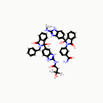 NC(=O)c1cccc(N2C(=O)c3ccccc3C2(O)c2ccc3[nH]c(NC(=O)O)nc3c2)c1.O=C(CC(O)(C(F)(F)F)C(F)(F)F)Nc1nc2cc(C3(O)c4ccccc4C(=O)N3Cc3ccccc3)ccc2[nH]1